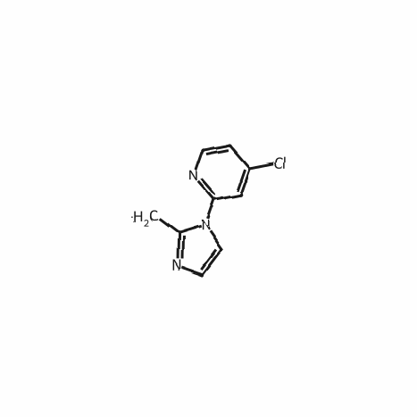 [CH2]c1nccn1-c1cc(Cl)ccn1